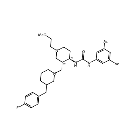 COCCN1CC[C@@H](NC(=O)Nc2cc(C(C)=O)cc(C(C)=O)c2)[C@H](CN2CCCC(Cc3ccc(F)cc3)C2)C1